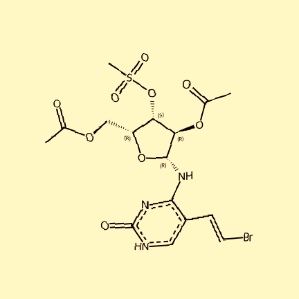 CC(=O)OC[C@H]1O[C@@H](Nc2nc(=O)[nH]cc2C=CBr)[C@H](OC(C)=O)[C@H]1OS(C)(=O)=O